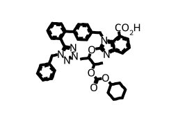 CC(OC(=O)OC1CCCCC1)C(C)Oc1nc2cccc(C(=O)O)c2n1Cc1ccc(-c2ccccc2-c2nnnn2Cc2ccccc2)cc1